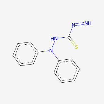 N=NC(=S)NN(c1ccccc1)c1ccccc1